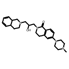 CN1CCN(c2ccc3c(c2)CCN(CC(O)CN2CCC4C=CC=CC4C2)C3=O)CC1